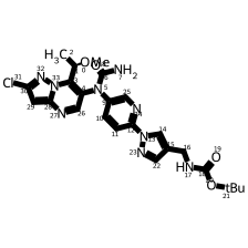 CO[C@@H](C)c1c(N(C(N)=O)c2ccc(-n3cc(CNC(=O)OC(C)(C)C)cn3)nc2)cnc2cc(Cl)nn12